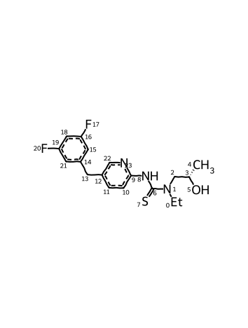 CCN(C[C@H](C)O)C(=S)Nc1ccc(Cc2cc(F)cc(F)c2)cn1